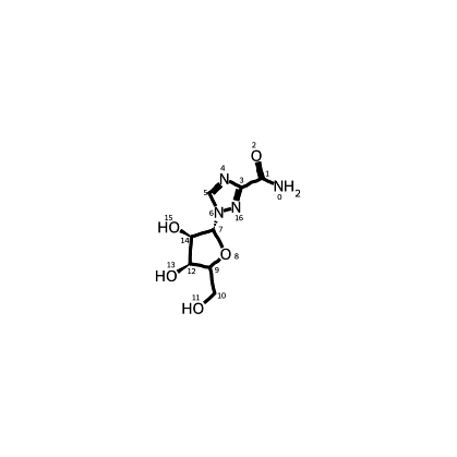 NC(=O)c1ncn([C@@H]2OC(CO)[C@@H](O)[C@H]2O)n1